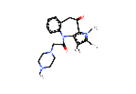 Cc1c2c(n(C)c1C)C(=O)Cc1ccccc1N2C(=O)CN1CCN(C)CC1